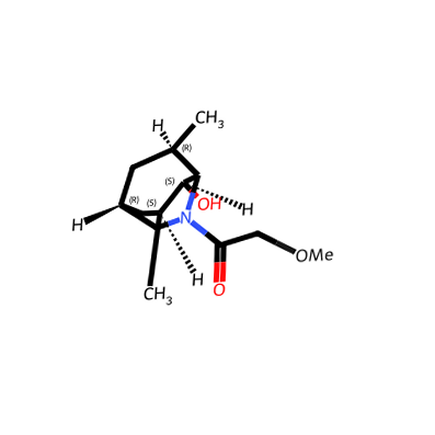 COCC(=O)N1C[C@@H]2C[C@@H](C)C1[C@@H](O)[C@@H](C)C2